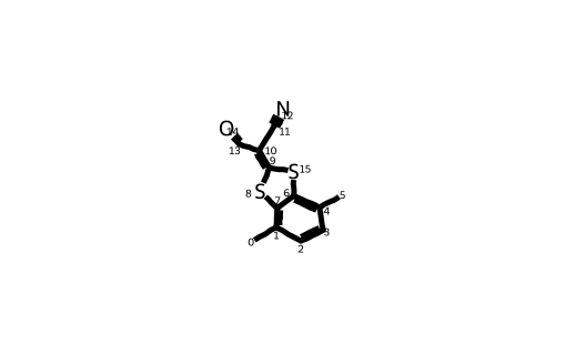 Cc1ccc(C)c2c1SC(=C(C#N)C=O)S2